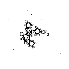 CN1C(=O)c2c(nn(Cc3ccc(C(F)(F)F)cc3)c2Sc2ccccc2)N2C1=NC1CCCCC12